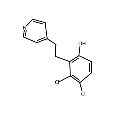 Oc1ccc(Cl)c(Cl)c1CCc1ccncc1